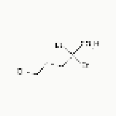 CCC(CC)(CCCCl)C(=O)O